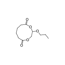 CCCOC1COC(=O)CCCCC(=O)O1